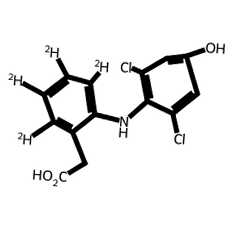 [2H]c1c([2H])c([2H])c(Nc2c(Cl)cc(O)cc2Cl)c(CC(=O)O)c1[2H]